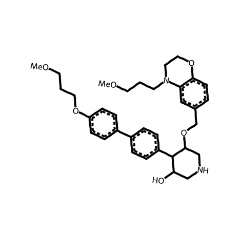 COCCCOc1ccc(-c2ccc(C3C(O)CNCC3OCc3ccc4c(c3)N(CCCOC)CCO4)cc2)cc1